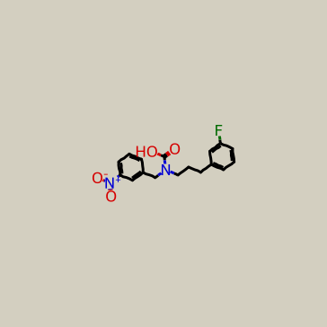 O=C(O)N(CCCc1cccc(F)c1)Cc1cccc([N+](=O)[O-])c1